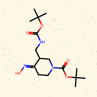 CC(C)(C)OC(=O)NCC1CN(C(=O)OC(C)(C)C)CCC1=NO